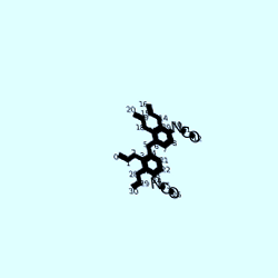 C=CCc1c(Cc2ccc(N=C=O)c(CC=C)c2CC=C)ccc(N=C=O)c1CC=C